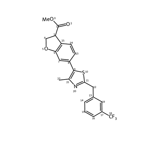 COC(=O)C1COc2cc(-c3sc(Cc4cccc(C(F)(F)F)c4)nc3C)ccc21